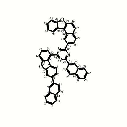 c1ccc2cc(-c3ccc4c(c3)oc3cccc(-c5nc(-c6ccc7ccccc7c6)nc(-c6ccc7ccc8oc9ccccc9c8c7c6)n5)c34)ccc2c1